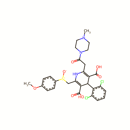 COc1ccc([S+]([O-])CC2=C(C(=O)O)C(c3c(Cl)cccc3Cl)C(C(=O)O)=C(CC(=O)N3CCN(C)CC3)N2)cc1